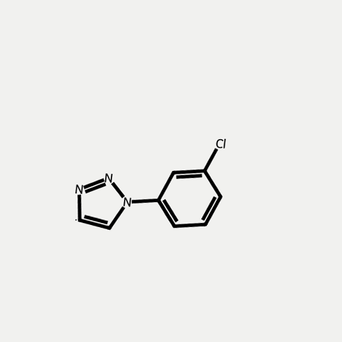 Clc1cccc(-n2c[c]nn2)c1